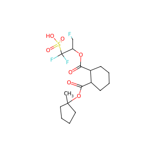 CC1(OC(=O)C2CCCCC2C(=O)OC(CF)C(F)(F)S(=O)(=O)O)CCCC1